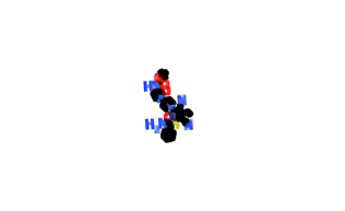 CCc1c(C#N)c(SC(C(N)=O)c2ccccc2)nc(N2CCC(N3CCC(NC(=O)OC(C)(C)C)C3=O)CC2)c1C#N